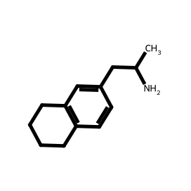 CC(N)Cc1ccc2c(c1)CCCC2